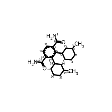 CC1CCCC(c2c(C(N)=O)ccc(C(N)=O)c2C2CCCC(C)C2)C1